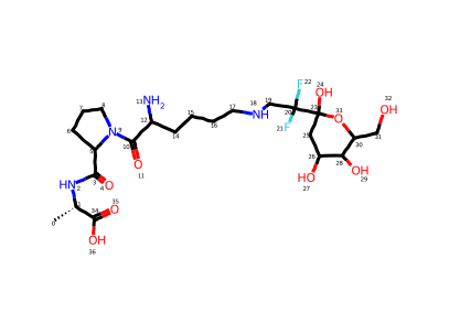 C[C@H](NC(=O)C1CCCN1C(=O)C(N)CCCCNCC(F)(F)C1(O)CC(O)C(O)C(CO)O1)C(=O)O